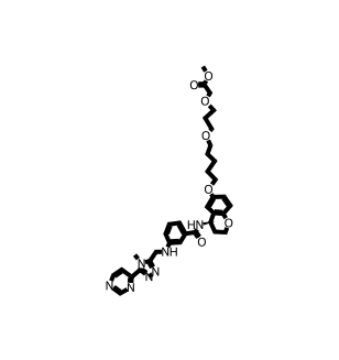 COC(=O)COCCCOCCCCCOc1ccc2c(c1)[C@H](NC(=O)c1cccc(NCc3nnc(-c4ccncn4)n3C)c1)CCO2